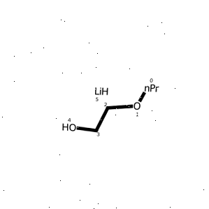 CCCOCCO.[LiH]